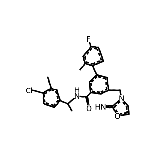 Cc1cc(C(C)NC(=O)c2cc(Cn3ccoc3=N)cc(-c3ccc(F)cc3C)c2)ccc1Cl